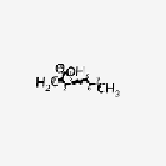 C=C(CC#CCCCC)C(=O)O